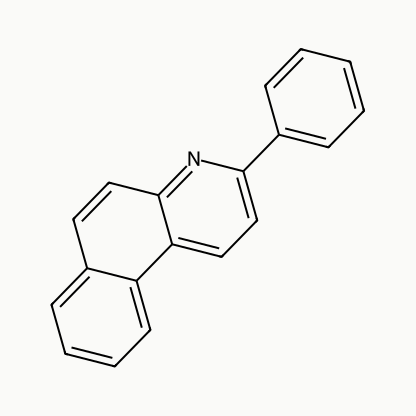 c1ccc(-c2ccc3c(ccc4ccccc43)n2)cc1